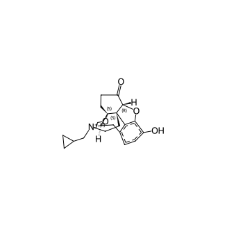 O=C1CC[C@]23OCC[N+]4(CC5CC5)CC[C@@]25c2c(ccc(O)c2O[C@@H]15)C[C@H]34